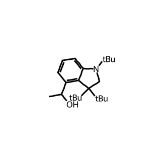 CC(O)c1cccc2c1C(C(C)(C)C)(C(C)(C)C)CN2C(C)(C)C